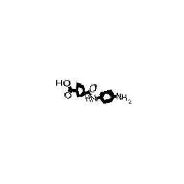 Nc1ccc(NC(=O)c2ccc(C(=O)O)cc2)cc1